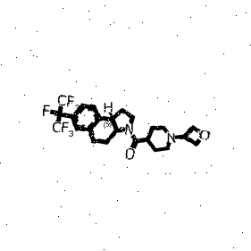 O=C(C1CCN(C2COC2)CC1)N1CC[C@H]2c3ccc(C(F)(C(F)(F)F)C(F)(F)F)cc3CCC21